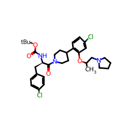 CC(CN1CCCC1)Oc1cc(Cl)ccc1C1CCN(C(=O)[C@@H](Cc2ccc(Cl)cc2)NC(=O)OC(C)(C)C)CC1